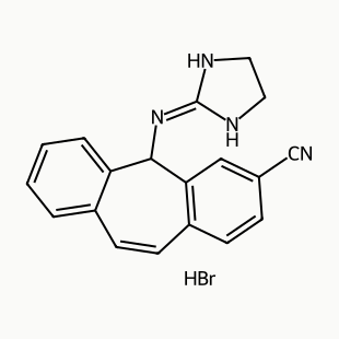 Br.N#Cc1ccc2c(c1)C(N=C1NCCN1)c1ccccc1C=C2